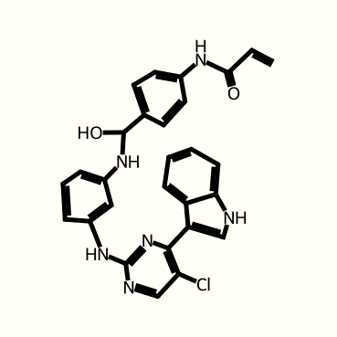 C=CC(=O)Nc1ccc(C(O)Nc2cccc(Nc3ncc(Cl)c(-c4c[nH]c5ccccc45)n3)c2)cc1